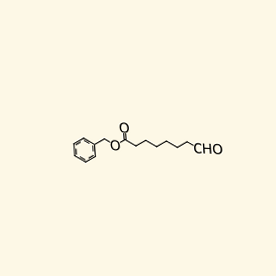 O=CCCCCCCC(=O)OCc1ccccc1